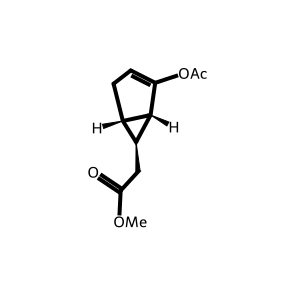 COC(=O)C[C@H]1[C@@H]2CC=C(OC(C)=O)[C@@H]21